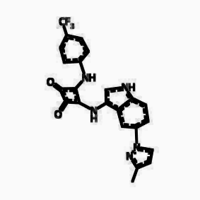 Cc1ccn(-c2ccc3[nH]cc(Nc4c(Nc5ccc(C(F)(F)F)cc5)c(=O)c4=O)c3c2)n1